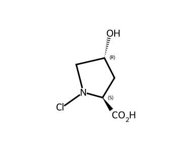 O=C(O)[C@@H]1C[C@@H](O)CN1Cl